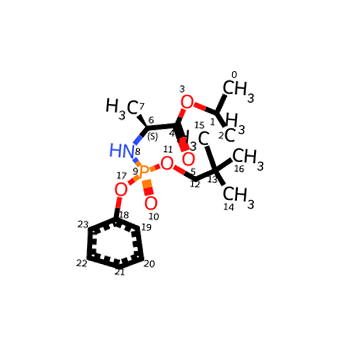 CC(C)OC(=O)[C@H](C)NP(=O)(OCC(C)(C)C)Oc1ccccc1